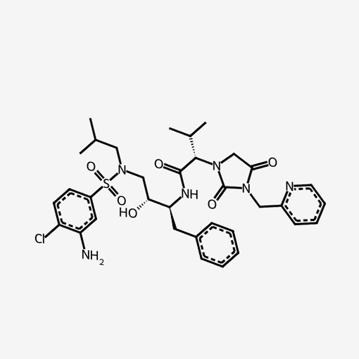 CC(C)CN(C[C@@H](O)[C@H](Cc1ccccc1)NC(=O)[C@H](C(C)C)N1CC(=O)N(Cc2ccccn2)C1=O)S(=O)(=O)c1ccc(Cl)c(N)c1